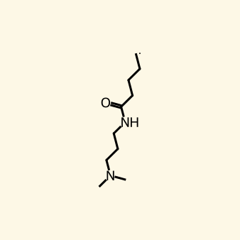 [CH2]CCCC(=O)NCCCN(C)C